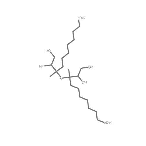 CCCCCCCCCCCCCCCCCC(C)(OC(C)(CCCCCCCCCCCCCCCCC)C(O)CO)C(O)CO